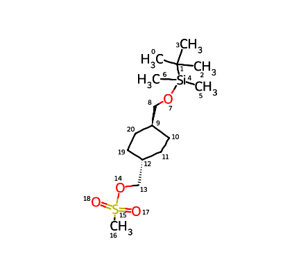 CC(C)(C)[Si](C)(C)OC[C@H]1CC[C@H](COS(C)(=O)=O)CC1